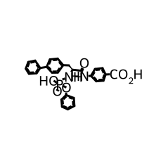 O=C(O)c1ccc(NC(=O)[C@H](Cc2ccc(-c3ccccc3)cc2)NCP(=O)(O)Oc2ccccc2)cc1